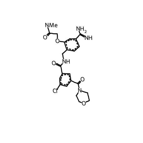 CNC(=O)COc1cc(C(=N)N)ccc1CNC(=O)c1cc(Cl)cc(C(=O)N2CCOCC2)c1